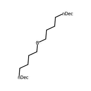 CCCCCCCCCCCCCC[B]CCCCCCCCCCCCCC